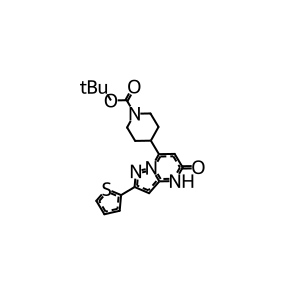 CC(C)(C)OC(=O)N1CCC(c2cc(=O)[nH]c3cc(-c4cccs4)nn23)CC1